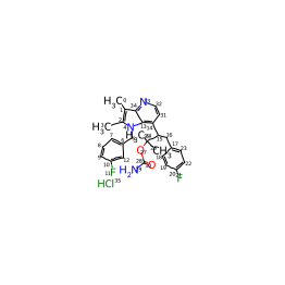 Cc1c(C)n(Cc2cccc(F)c2)c2c(C(Cc3ccc(F)cc3)C(C)(C)OC(N)=O)ccnc12.Cl